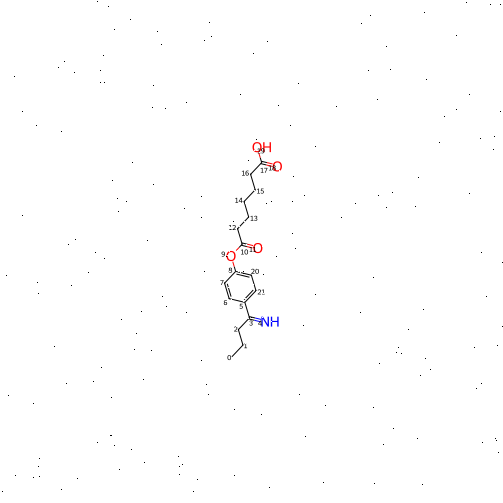 CCCC(=N)c1ccc(OC(=O)CCCCCC(=O)O)cc1